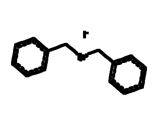 [I-].c1ccc(C[Te+]Cc2ccccc2)cc1